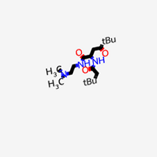 CN(C)CCNC(=O)C(CC(=O)C(C)(C)C)NC(=O)CC(C)(C)C